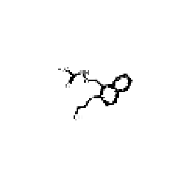 CCCOc1ccc2ccccc2c1CONC(C)=O